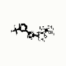 CC(N[S+]([O-])C(C)(C)C)c1nc(-c2ccnc(C(F)(F)F)c2)ns1